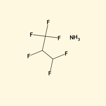 FC(F)C(F)C(F)(F)F.N